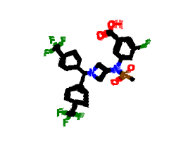 CS(=O)(=O)N(c1cc(F)cc(C(=O)O)c1)C1CN(C(c2ccc(C(F)(F)F)cc2)c2ccc(C(F)(F)F)cc2)C1